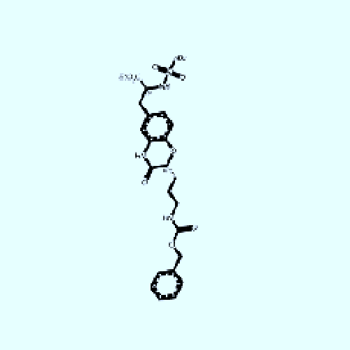 CCCCS(=O)(=O)N[C@@H](Cc1ccc2c(c1)NC(=O)[C@@H](CCCNC(=O)OCc1ccccc1)O2)C(=O)OCC